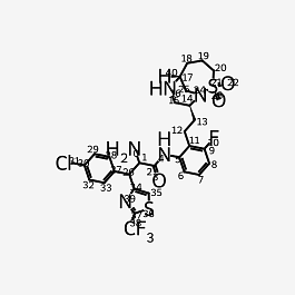 NC(C(=O)Nc1cccc(F)c1CC[C@H]1CN[C@@H]2CCCS(=O)(=O)N1C2)C(c1ccc(Cl)cc1)c1csc(C(F)(F)F)n1